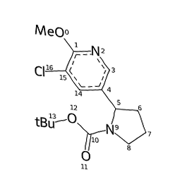 COc1ncc(C2CCCN2C(=O)OC(C)(C)C)cc1Cl